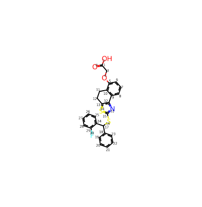 O=C(O)COc1cccc2c1CCc1sc(SC(c3ccccc3)c3ccccc3F)nc1-2